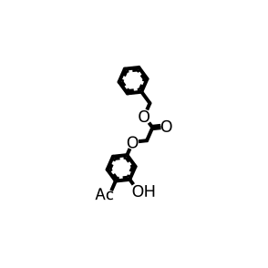 CC(=O)c1ccc(OCC(=O)OCc2ccccc2)cc1O